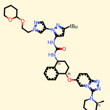 C[C@H]1CCCCN1c1nnc2ccc(O[C@@H]3CC[C@H](NC(=O)Nc4cc(C(C)(C)C)nn4-c4cnn(CCOC5CCCCO5)c4)c4ccccc43)cn12